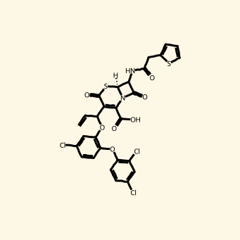 C=CC(Oc1cc(Cl)ccc1Oc1ccc(Cl)cc1Cl)C1=C(C(=O)O)N2C(=O)C(NC(=O)Cc3cccs3)[C@@H]2SC1=O